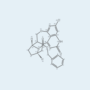 O=C(OCc1ccccc1)N1[C@H]2CC[C@@H]1C1COc3nc(Cl)cc4[nH]c(=O)nc(c34)N1C2